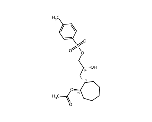 CC(=O)O[C@@H]1CCCCC[C@H]1C[C@@H](O)COS(=O)(=O)c1ccc(C)cc1